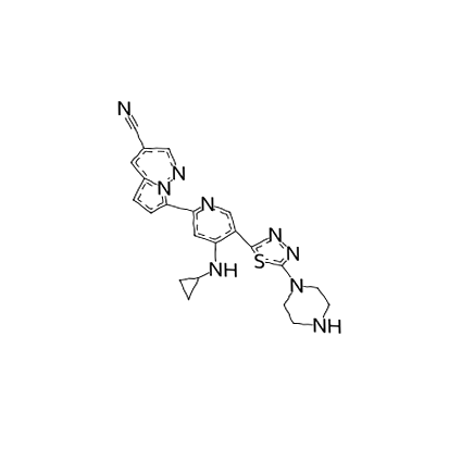 N#Cc1cnn2c(-c3cc(NC4CC4)c(-c4nnc(N5CCNCC5)s4)cn3)ccc2c1